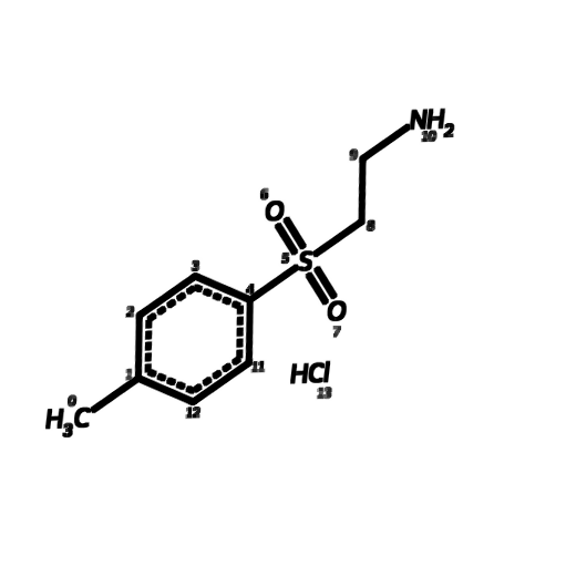 Cc1ccc(S(=O)(=O)CCN)cc1.Cl